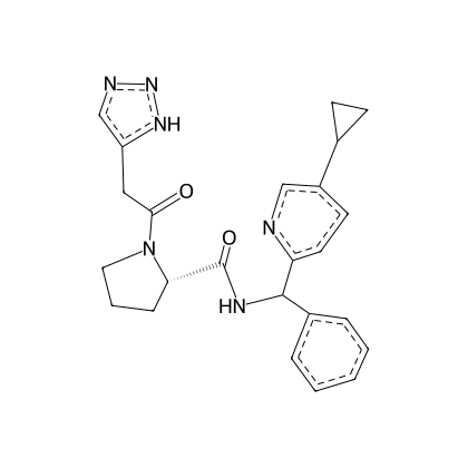 O=C(NC(c1ccccc1)c1ccc(C2CC2)cn1)[C@@H]1CCCN1C(=O)Cc1cnn[nH]1